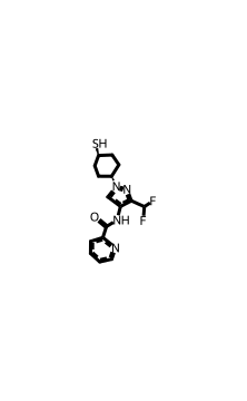 O=C(Nc1cn([C@H]2CC[C@H](S)CC2)nc1C(F)F)c1ccccn1